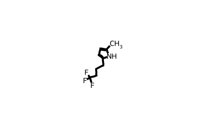 Cc1ccc(CCCC(F)(F)F)[nH]1